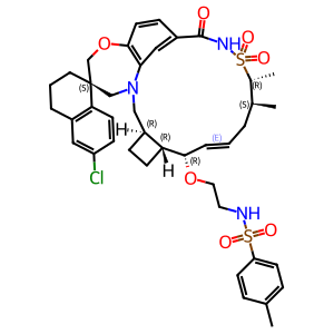 Cc1ccc(S(=O)(=O)NCCO[C@H]2/C=C/C[C@H](C)[C@@H](C)S(=O)(=O)NC(=O)c3ccc4c(c3)N(C[C@@H]3CC[C@H]32)C[C@@]2(CCCc3cc(Cl)ccc32)CO4)cc1